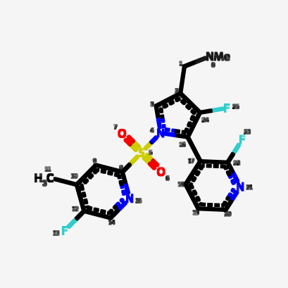 CNCc1cn(S(=O)(=O)c2cc(C)c(F)cn2)c(-c2cccnc2F)c1F